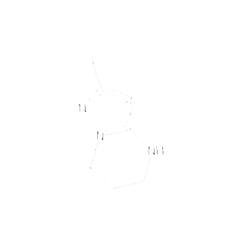 Cc1cc2n(n1)CCCN2